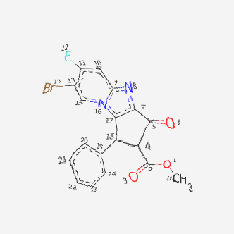 COC(=O)C1C(=O)c2nc3cc(F)c(Br)cn3c2C1c1ccccc1